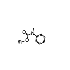 CC(C)OC(=O)N(C)c1[c]cccc1